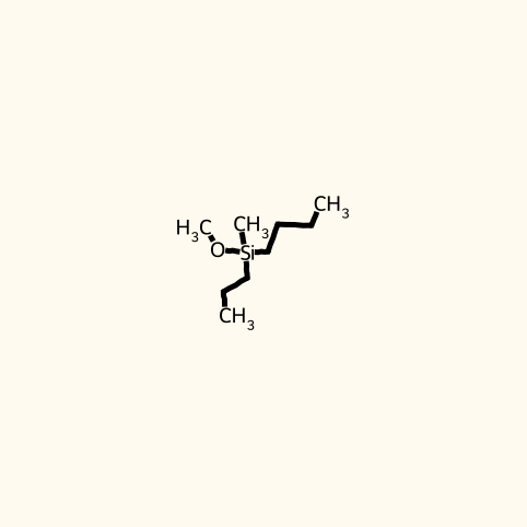 CCCC[Si](C)(CCC)OC